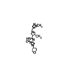 CC1CN(Cc2cnn(C)c2)CC1C1=NC2=CN(C3CCOCC3)CN2C(=O)N1